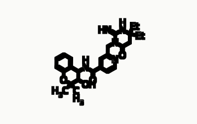 CCC1(CC)CC(=O)N(Cc2cc(C(=O)NC3c4ccccc4OC(C)(C)C3O)ccn2)C(=N)N1